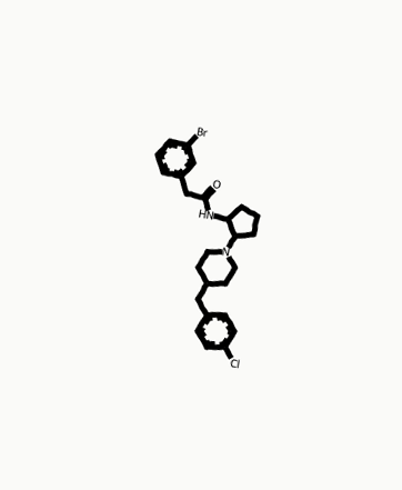 O=C(Cc1cccc(Br)c1)NC1CCCC1N1CCC(Cc2ccc(Cl)cc2)CC1